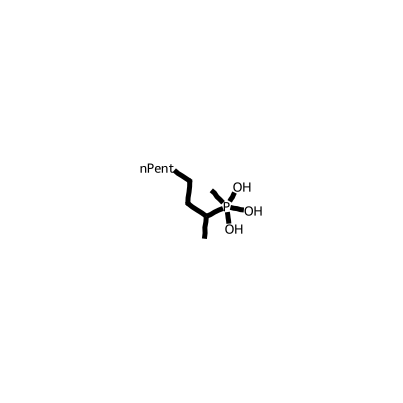 CCCCCCCC(C)P(C)(O)(O)O